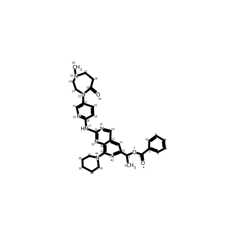 CC(OC(=O)c1ccccc1)c1cc2cnc(Nc3ccc(N4CCN(C)CCC4=O)cn3)nc2c(N2CCCCC2)n1